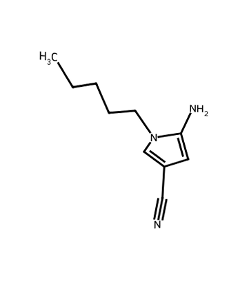 CCCCCn1cc(C#N)cc1N